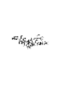 CC(=O)N[C@@H](CCCC/N=C\c1c(C)c(Cl)c(OCC(=O)O)c(C/C=C(C)/C=C/[C@@]2(C)[C@H](C)CCC(=O)[C@@H]2C)c1O)C(=O)O